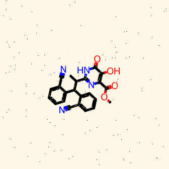 COC(=O)c1nc(C(C)C(c2ccccc2C#N)c2ccccc2C#N)[nH]c(=O)c1O